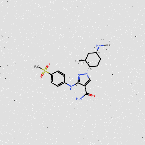 CC(C)N[C@H]1CC[C@H](n2cc(C(N)=O)c(Nc3ccc(S(=O)(=O)C(F)(F)F)cc3)n2)[C@@H](C#N)C1